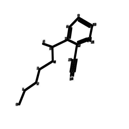 CCCCCC(C)c1cccnc1C#N